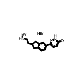 Br.CCCNCCC1Cc2ccc(-c3ccc(=O)[nH]n3)cc2C1